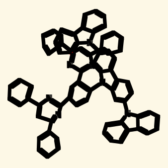 c1ccc(-c2cc(-c3ccccc3)nc(-c3ccc(-n4c5cc(-n6c7ccccc7c7ccccc76)ccc5c5ccc(-n6c7ccccc7c7ccccc76)cc54)c(-c4nc(-c5ccccc5)cc(-c5ccccc5)n4)c3)n2)cc1